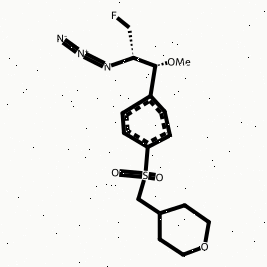 CO[C@H](c1ccc(S(=O)(=O)CC2CCOCC2)cc1)[C@@H](CF)N=[N+]=[N-]